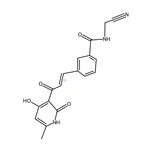 Cc1cc(O)c(C(=O)/C=C/c2cccc(C(=O)NCC#N)c2)c(=O)[nH]1